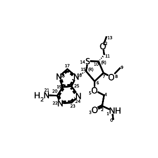 CNC(=O)COC1C(OC)[C@@H](COC)S[C@H]1n1cnc2c(N)ncnc21